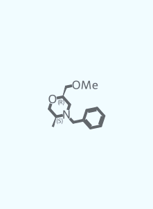 COC[C@H]1CN(Cc2ccccc2)[C@@H](C)CO1